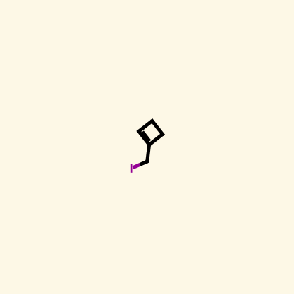 ICC1=CCC1